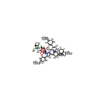 C/C(=C1/N=C(c2ccc(C(C)(C)C)cc2)C=C1c1ccc(C(C)(C)C)cc1)c1c(-c2ccc(C(C)(C)C)cc2)cc(-c2ccc(C(C)(C)C)cc2)n1B1OCC(CC(F)(F)CC(F)(F)F)O1